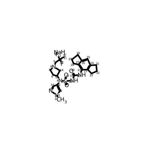 Cn1cc(N(C2CCN(CC(F)(F)F)C2)S(=O)(=O)NC(=O)Nc2c3c(cc4c2CCC4)CCC3)cn1.[NaH]